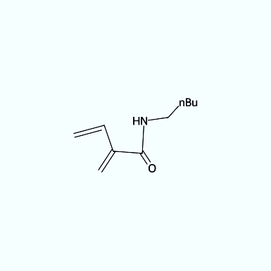 C=CC(=C)C(=O)NCCCCC